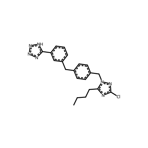 CCCCc1nc(Cl)nn1Cc1ccc(Cc2cccc(-c3nnn[nH]3)c2)cc1